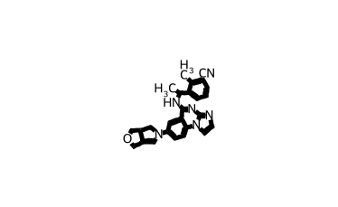 Cc1c(C#N)cccc1C(C)Nc1nc2nccn2c2ccc(N3C=C4COCC4C3)cc12